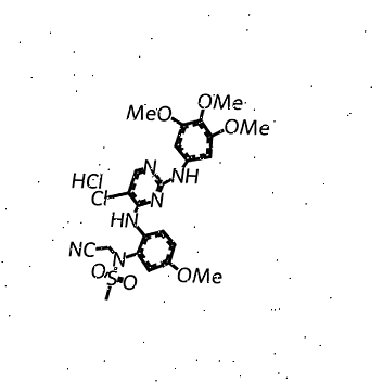 COc1ccc(Nc2nc(Nc3cc(OC)c(OC)c(OC)c3)ncc2Cl)c(N(CC#N)S(C)(=O)=O)c1.Cl